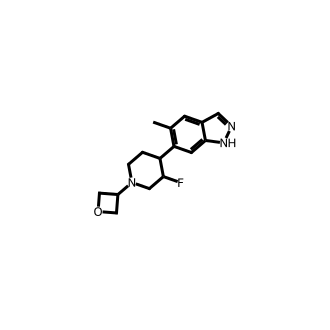 Cc1cc2cn[nH]c2cc1C1CCN(C2COC2)CC1F